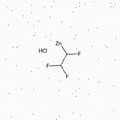 Cl.FC(F)[CH](F)[Zn]